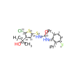 CC(C)c1ccc(F)c(C(C)C)c1NC(=O)NSc1cc(C(C)(C)O)c(Cl)s1